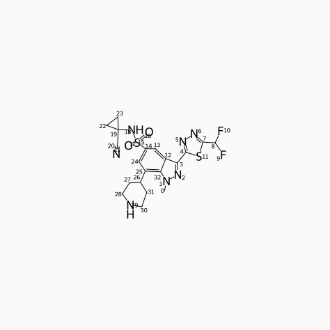 Cn1nc(-c2nnc(C(F)F)s2)c2cc(S(=O)(=O)NC3(C#N)CC3)cc(C3CCNCC3)c21